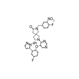 CC(C)n1nccc1-c1cc(F)ccc1Oc1cncnc1N1CCC2(CC(=O)N(Cc3ccc(F)c([N+](=O)[O-])c3)C2)C1